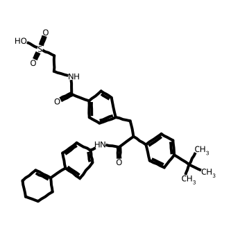 CC(C)(C)c1ccc(C(Cc2ccc(C(=O)NCCS(=O)(=O)O)cc2)C(=O)Nc2ccc(C3=CCCCC3)cc2)cc1